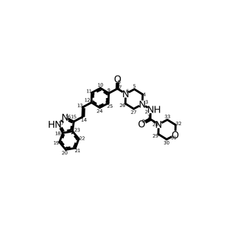 O=C(NN1CCN(C(=O)c2ccc(C=Cc3n[nH]c4ccccc34)cc2)CC1)N1CCOCC1